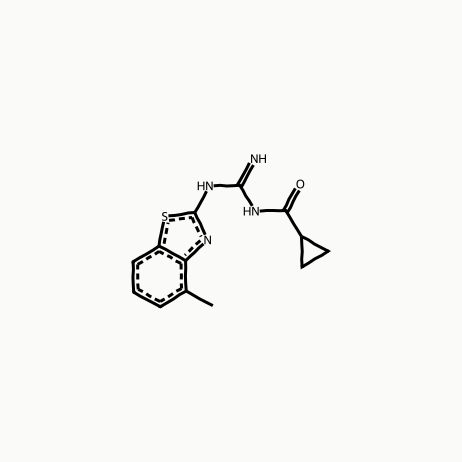 Cc1cccc2sc(NC(=N)NC(=O)C3CC3)nc12